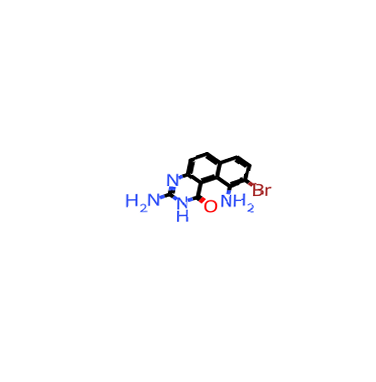 Nc1nc2ccc3ccc(Br)c(N)c3c2c(=O)[nH]1